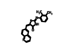 Cc1cccc(N=C2NC(=O)C(=Cc3ccc4ncccc4c3)S2)c1C